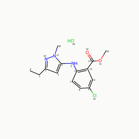 CCc1cc(Nc2ccc(Cl)cc2C(=O)OC)n(C)n1.Cl